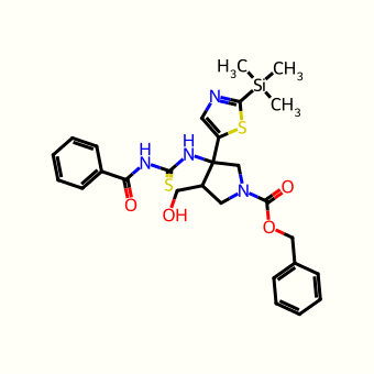 C[Si](C)(C)c1ncc(C2(NC(=S)NC(=O)c3ccccc3)CN(C(=O)OCc3ccccc3)CC2CO)s1